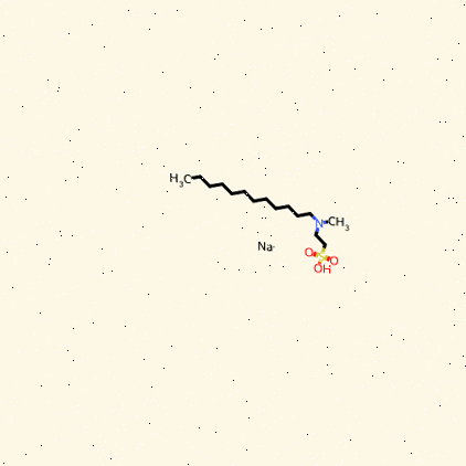 CCCCCCCCCCCCN(C)CCS(=O)(=O)O.[Na]